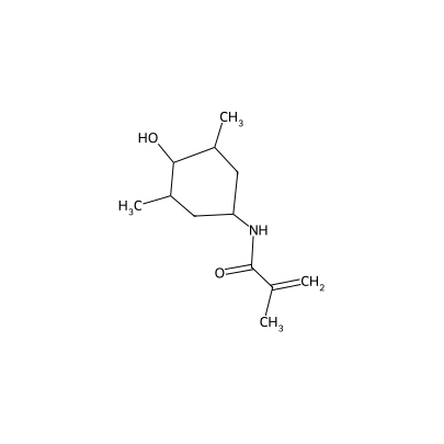 C=C(C)C(=O)NC1CC(C)C(O)C(C)C1